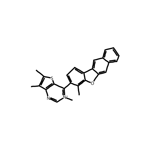 Cc1sc2c(-c3ccc4c(oc5cc6ccccc6cc54)c3C)[n+](C)cnc2c1C